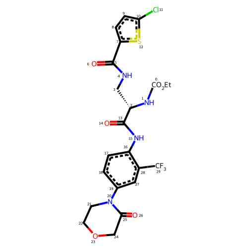 CCOC(=O)N[C@@H](CNC(=O)c1ccc(Cl)s1)C(=O)Nc1ccc(N2CCOCC2=O)cc1C(F)(F)F